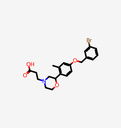 Cc1cc(OCc2cccc(Br)c2)ccc1C1CN(CCC(=O)O)CCO1